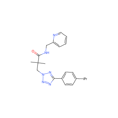 CC(C)c1ccc(-c2nnn(CC(C)(C)C(=O)NCc3ccccn3)n2)cc1